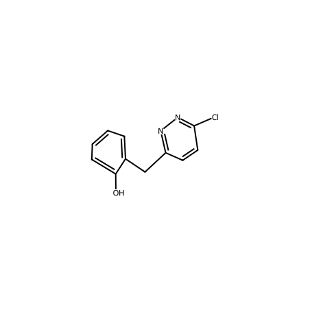 Oc1ccccc1Cc1ccc(Cl)nn1